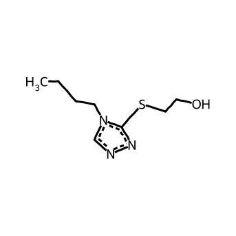 CCCCn1cnnc1SCCO